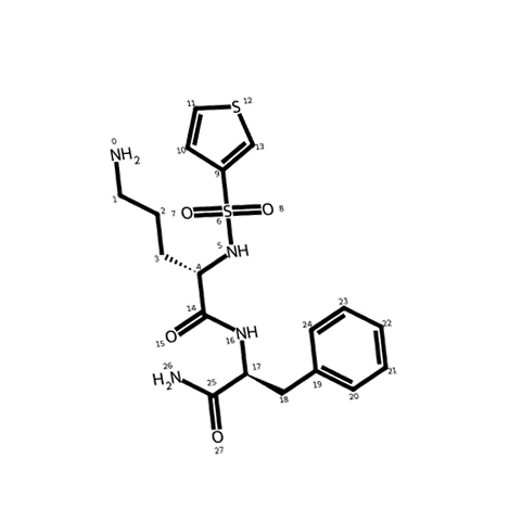 NCCC[C@H](NS(=O)(=O)c1ccsc1)C(=O)N[C@@H](Cc1ccccc1)C(N)=O